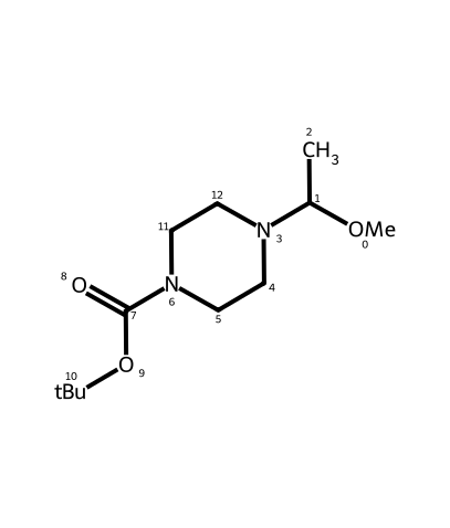 COC(C)N1CCN(C(=O)OC(C)(C)C)CC1